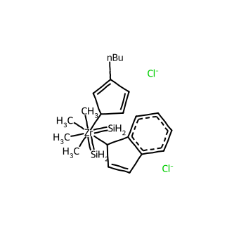 CCCCC1=C[CH]([Zr]([CH3])([CH3])([CH3])([CH3])(=[SiH2])(=[SiH2])[CH]2C=Cc3ccccc32)C=C1.[Cl-].[Cl-]